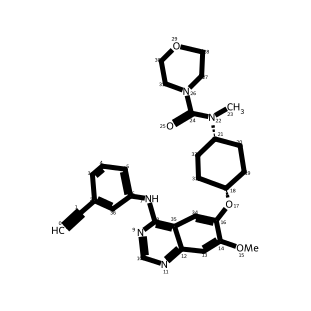 C#Cc1cccc(Nc2ncnc3cc(OC)c(O[C@H]4CC[C@@H](N(C)C(=O)N5CCOCC5)CC4)cc23)c1